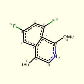 COc1ncc(C(C)(C)C)c2cc(F)cc(F)c12